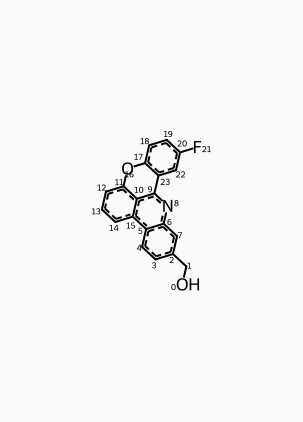 OCc1ccc2c(c1)nc1c3c(cccc32)Oc2ccc(F)cc2-1